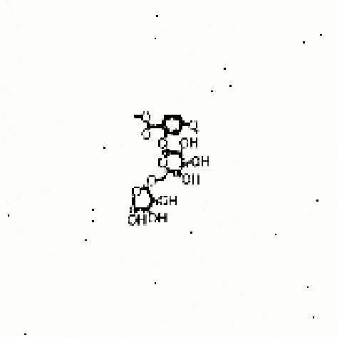 COC(=O)c1ccc(OC)cc1O[C@@H]1O[C@H](CO[C@@H]2OC[C@@H](O)[C@H](O)[C@H]2O)[C@@H](O)[C@H](O)[C@H]1O